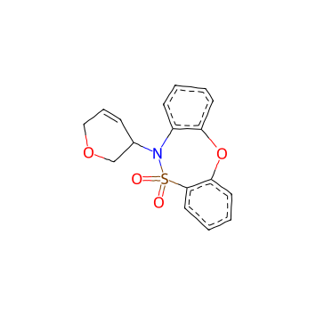 O=S1(=O)c2ccccc2Oc2ccccc2N1C1C=CCOC1